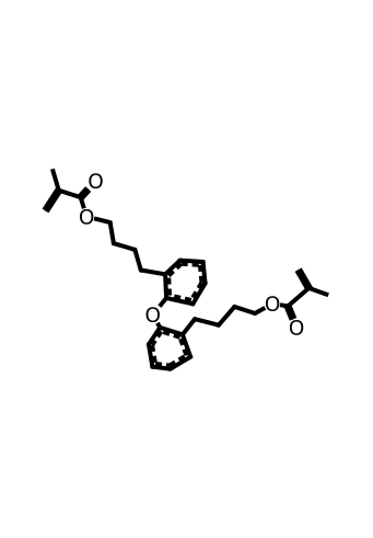 C=C(C)C(=O)OCCCCc1ccccc1Oc1ccccc1CCCCOC(=O)C(=C)C